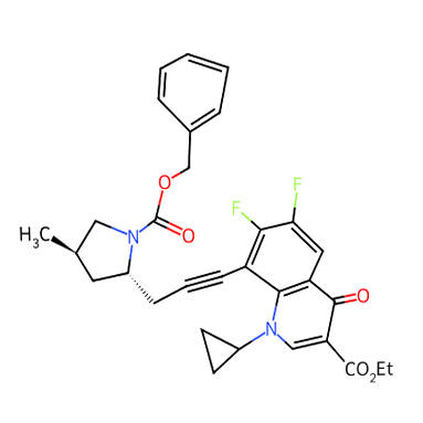 CCOC(=O)c1cn(C2CC2)c2c(C#CC[C@@H]3C[C@@H](C)CN3C(=O)OCc3ccccc3)c(F)c(F)cc2c1=O